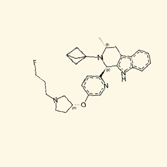 C[C@@H]1Cc2c([nH]c3ccccc23)[C@@H](c2ccc(O[C@@H]3CCN(CCCF)C3)cn2)N1C12CC(C1)C2